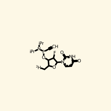 [2H]CC1OC(n2ccc(=O)[nH]c2=O)C(F)C1OP(C#C)N(C(C)C)C(C)C